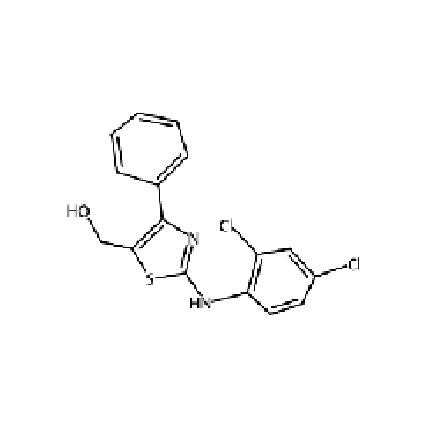 OCc1sc(Nc2ccc(Cl)cc2Cl)nc1-c1ccccc1